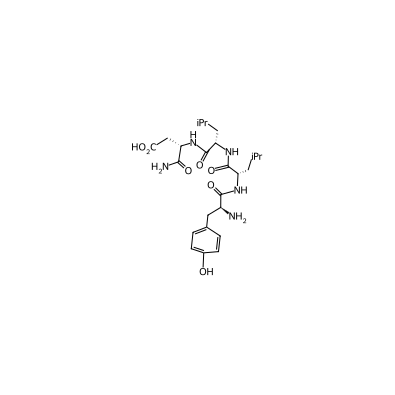 CC(C)C[C@H](NC(=O)[C@H](CC(C)C)NC(=O)[C@@H](N)Cc1ccc(O)cc1)C(=O)N[C@@H](CC(=O)O)C(N)=O